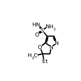 CCC1(C)Cn2ncc(S(=N)(N)=O)c2O1